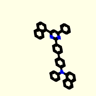 c1ccc(-c2cc(-c3cccc4ccccc34)nc(-c3ccc(-c4ccc(N(c5ccccc5)c5cccc6ccccc56)cc4)cc3)n2)cc1